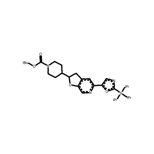 CC(C)[Si](c1ncc(-c2cc3c(cn2)OC(C2CCN(C(=O)OC(C)(C)C)CC2)C3)o1)(C(C)C)C(C)C